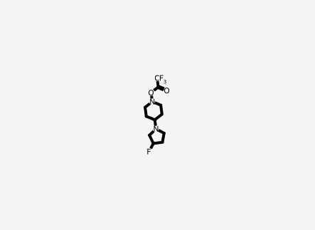 O=C(ON1CCC(N2CCC(F)C2)CC1)C(F)(F)F